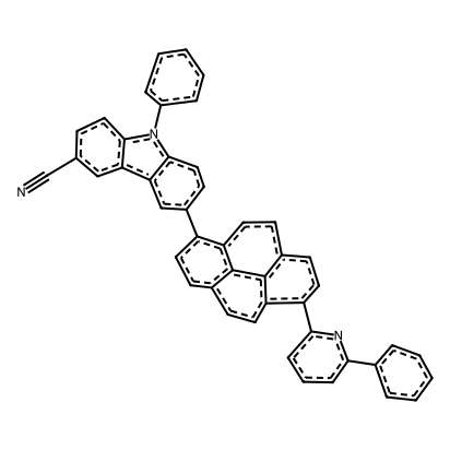 N#Cc1ccc2c(c1)c1cc(-c3ccc4ccc5c(-c6cccc(-c7ccccc7)n6)ccc6ccc3c4c65)ccc1n2-c1ccccc1